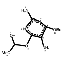 COC(O)Oc1nc(N)nc(OCC(C)C)c1N